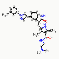 CCN(CC)CCNC(=O)c1c(C)[nH]c(/C=C2\C(=O)Nc3ccc(-c4cnn(-c5cccc(C)c5)c4)cc32)c1C